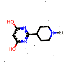 CCN1CCC(c2nc(O)cc(O)n2)CC1